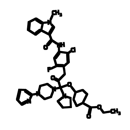 CCOC(=O)C1CCC(OC(C(=O)Cc2cc(Cl)c(NC(=O)c3cn(C)c4ccccc34)cc2F)(N2CCCC2)N2CCN(c3ccccn3)CC2)CC1